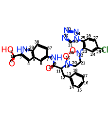 O=C(O)c1cc2cc(NC(=O)C(Cc3ccccc3)N3CCN(c4cc(Cl)ccc4-n4cnnn4)OO3)ccc2[nH]1